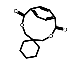 O=C1OCC2(CCCCC2)COC(=O)c2ccc1cc2